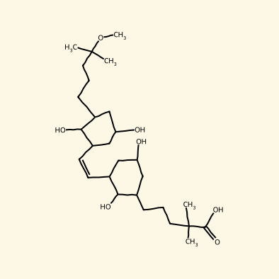 COC(C)(C)CCCC1CC(O)CC(/C=C\C2CC(O)CC(CCCC(C)(C)C(=O)O)C2O)C1O